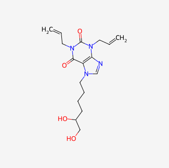 C=CCn1c(=O)c2c(ncn2CCCCC(O)CO)n(CC=C)c1=O